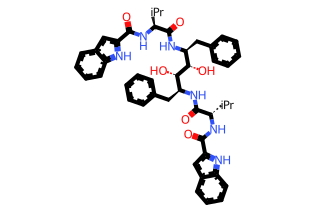 CC(C)[C@H](NC(=O)c1cc2ccccc2[nH]1)C(=O)N[C@@H](Cc1ccccc1)[C@H](O)[C@@H](O)[C@H](Cc1ccccc1)NC(=O)[C@@H](NC(=O)c1cc2ccccc2[nH]1)C(C)C